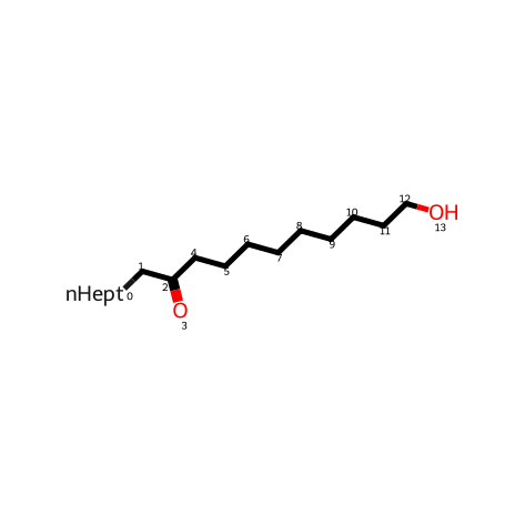 CCCCCCCCC(=O)CCCCCCCCCO